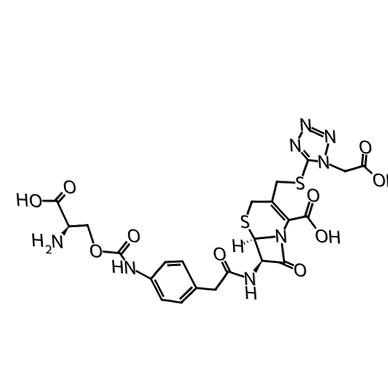 N[C@H](COC(=O)Nc1ccc(CC(=O)N[C@@H]2C(=O)N3C(C(=O)O)=C(CSc4nnnn4CC(=O)O)CS[C@H]23)cc1)C(=O)O